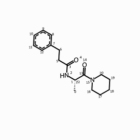 C[C@H](NC(=O)CCc1ccccc1)C(=O)N1CCCCC1